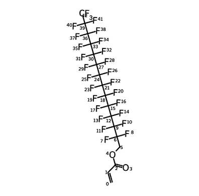 C=CC(=O)OCC(F)(F)C(F)(F)C(F)(F)C(F)(F)C(F)(F)C(F)(F)C(F)(F)C(F)(F)C(F)(F)C(F)(F)C(F)(F)C(F)(F)C(F)(F)F